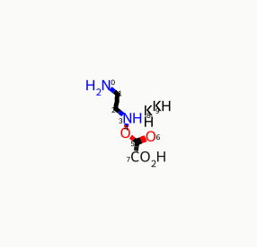 NCCNOC(=O)C(=O)O.[KH].[KH]